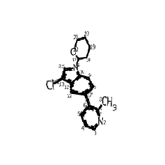 Cc1ncccc1-c1ccc2c(c1)c(Cl)cn2C1CCCCO1